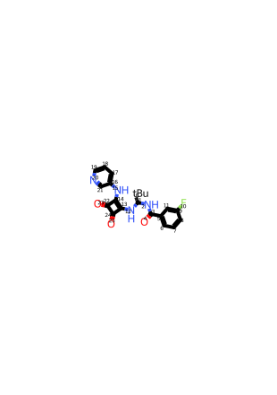 CC(C)(C)C(NC(=O)c1cccc(F)c1)Nc1c(Nc2cccnc2)c(=O)c1=O